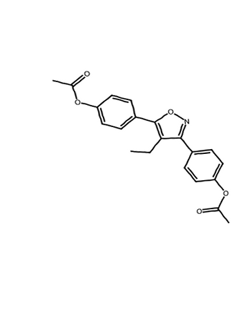 CCc1c(-c2ccc(OC(C)=O)cc2)noc1-c1ccc(OC(C)=O)cc1